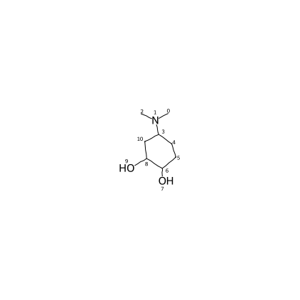 CN(C)C1CCC(O)C(O)C1